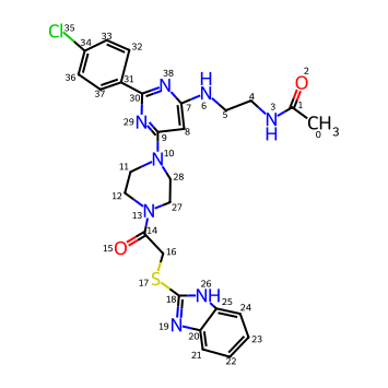 CC(=O)NCCNc1cc(N2CCN(C(=O)CSc3nc4ccccc4[nH]3)CC2)nc(-c2ccc(Cl)cc2)n1